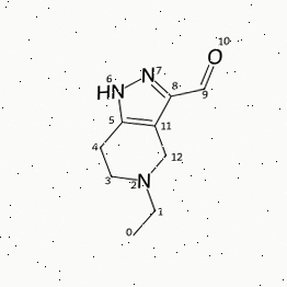 CCN1CCc2[nH]nc(C=O)c2C1